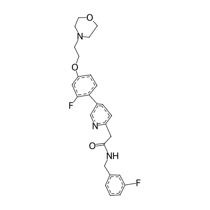 O=C(Cc1ccc(-c2ccc(OCCN3CCOCC3)cc2F)cn1)NCc1cccc(F)c1